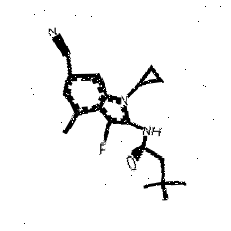 Cc1cc(C#N)cc2c1c(F)c(NC(=O)CC(C)(C)C)n2C1CC1